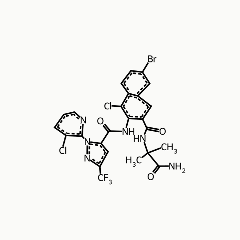 CC(C)(NC(=O)c1cc2cc(Br)ccc2c(Cl)c1NC(=O)c1cc(C(F)(F)F)nn1-c1ncccc1Cl)C(N)=O